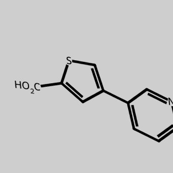 O=C(O)c1cc(-c2cccnc2)cs1